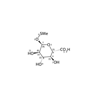 CSO[C@H]1O[C@H](C(=O)O)[C@@H](O)[C@H](O)[C@H]1O